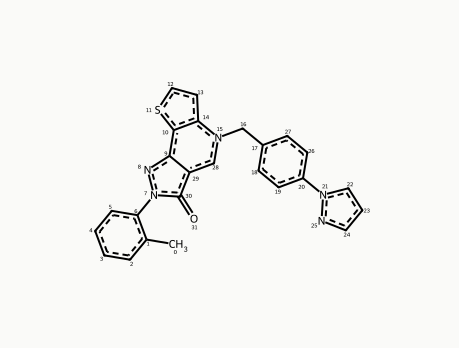 Cc1ccccc1-n1nc2c3sccc3n(Cc3ccc(-n4cccn4)cc3)cc-2c1=O